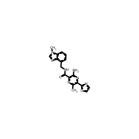 Cc1nc(C(=O)NCc2cccc3c2ncn3C)c(N)nc1-c1ncco1